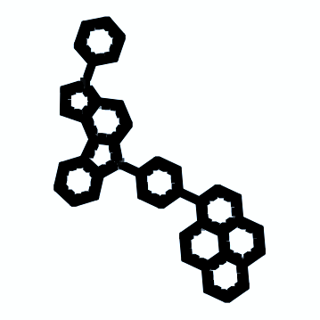 c1ccc(-n2ccc3c4c5ccccc5n(-c5ccc(-c6ccc7ccc8cccc9ccc6c7c89)cc5)c4ccc32)cc1